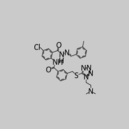 Cc1cccc(C=NNC(=O)c2cc(Cl)ccc2NC(=O)c2cccc(CSc3nnnn3CCN(C)C)c2)c1